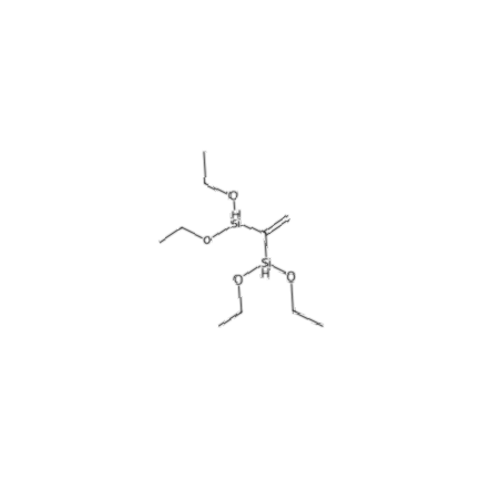 C=C([SiH](OCC)OCC)[SiH](OCC)OCC